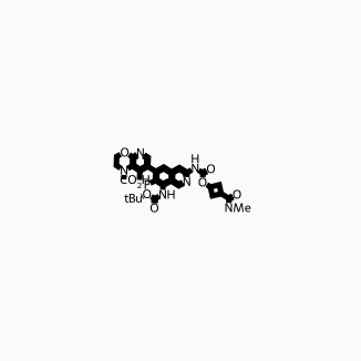 CNC(=O)C1CC(OC(=O)Nc2cc3cc(-c4cnc5c(c4C)N(C(=O)O)CCO5)c(F)c(NC(=O)OC(C)(C)C)c3cn2)C1